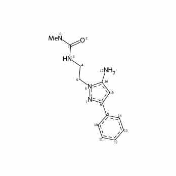 CNC(=O)NCCn1nc(-c2ccccc2)cc1N